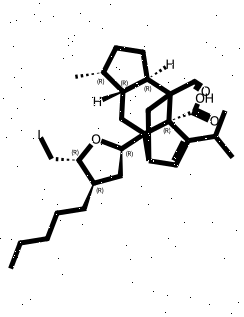 CCCCC[C@@H]1C[C@H](C23C[C@@H]4[C@H](C)CC[C@H]4C4(C=O)CC2C=C(C(C)C)[C@]43C(=O)O)O[C@H]1CI